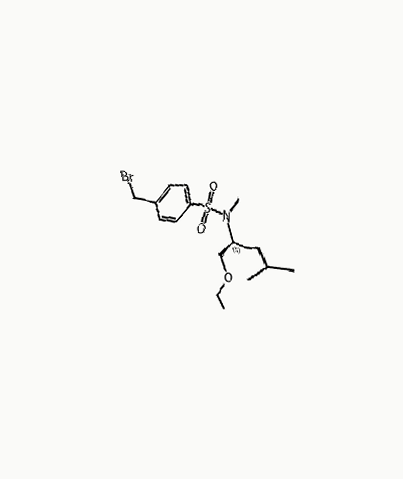 CCOC[C@H](CC(C)C)N(C)S(=O)(=O)c1ccc(CBr)cc1